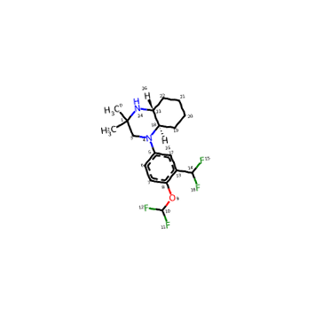 CC1(C)CN(c2ccc(OC(F)F)c(C(F)F)c2)[C@@H]2CCCC[C@H]2N1